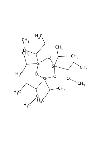 CCC(OC)[Si]1(C(C)C)O[Si](C(C)C)(C(CC)OC)O[Si](C(C)C)(C(CC)OC)O1